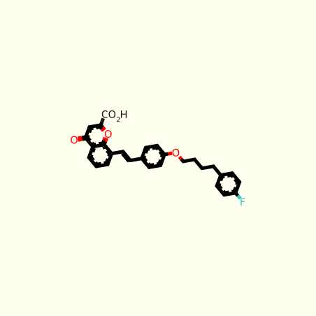 O=C(O)c1cc(=O)c2cccc(C=Cc3ccc(OCCCCc4ccc(F)cc4)cc3)c2o1